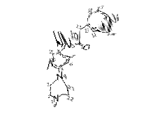 CN1CCN(c2ccc(NC(=O)Cc3ccccc3)cn2)CC1